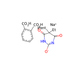 CCCC(C)C1(CC)C(=O)N=C([O-])NC1=O.O=C(O)c1ccccc1C(=O)O.[Na+]